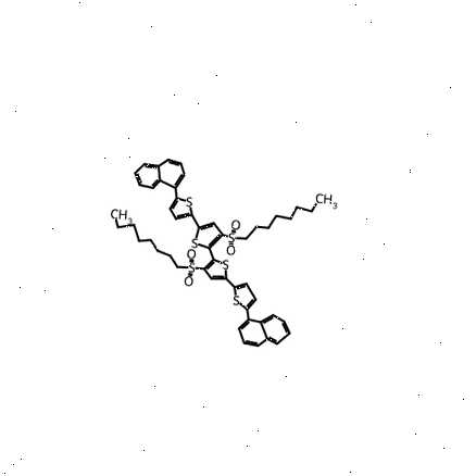 CCCCCCCCS(=O)(=O)c1cc(-c2ccc(-c3cccc4ccccc34)s2)sc1-c1sc(-c2ccc(-c3cccc4ccccc34)s2)cc1S(=O)(=O)CCCCCCCC